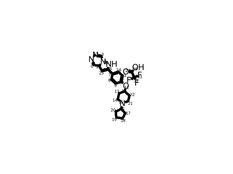 C1=NN=CN2NC(c3ccc(OC4CCN(C5CCCC5)CC4)cc3)=CC12.O=C(O)C(F)(F)F